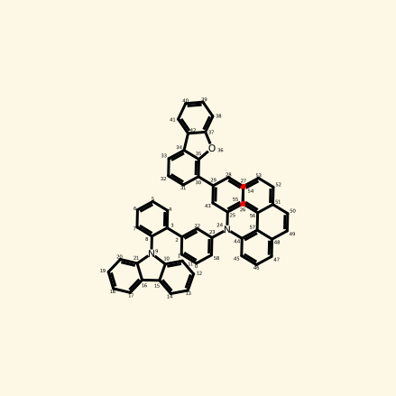 c1cc(-c2ccccc2-n2c3ccccc3c3ccccc32)cc(N(c2cccc(-c3cccc4c3oc3ccccc34)c2)c2cccc3ccc4ccccc4c23)c1